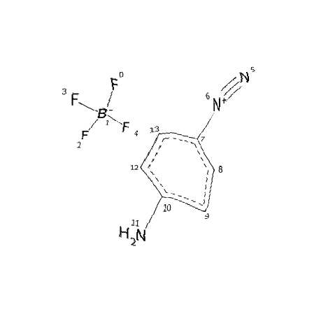 F[B-](F)(F)F.N#[N+]c1ccc(N)cc1